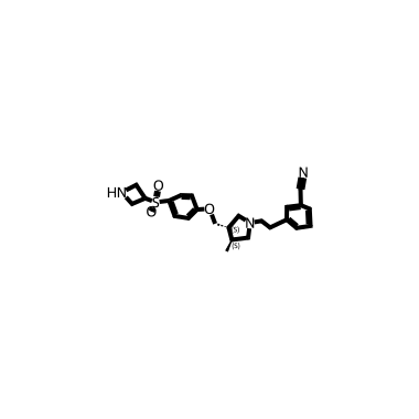 C[C@@H]1CN(CCc2cccc(C#N)c2)C[C@H]1COc1ccc(S(=O)(=O)C2CNC2)cc1